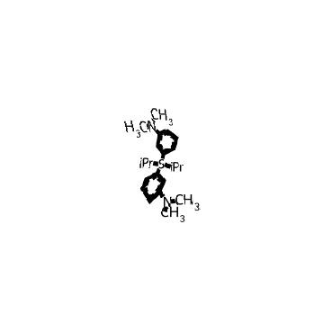 CC(C)S(c1cccc(N(C)C)c1)(c1cccc(N(C)C)c1)C(C)C